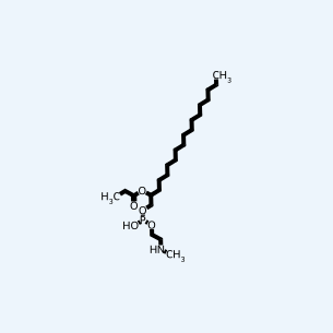 CCCCCCCCCCCCCCCCC(COP(O)OCCNC)OC(=O)CC